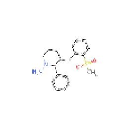 CS(=O)(=O)c1ccccc1CC1CCCN(N)C1c1ccccc1